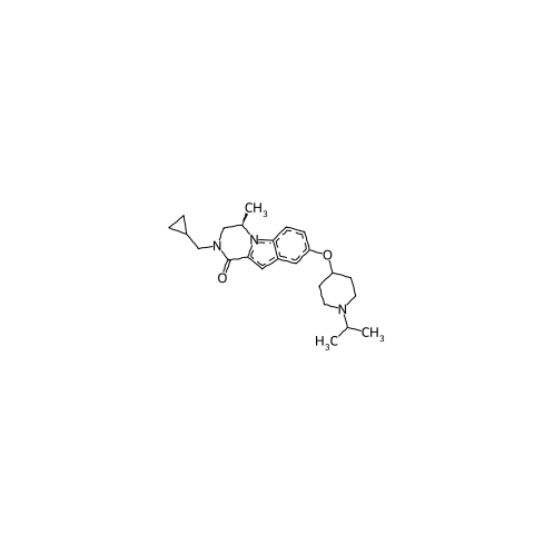 CC(C)N1CCC(Oc2ccc3c(c2)cc2n3[C@H](C)CN(CC3CC3)C2=O)CC1